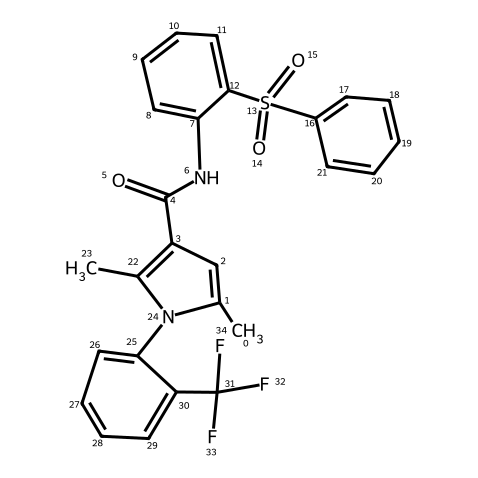 Cc1cc(C(=O)Nc2ccccc2S(=O)(=O)c2ccccc2)c(C)n1-c1ccccc1C(F)(F)F